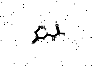 C=C(CN)CCNC(C)=O